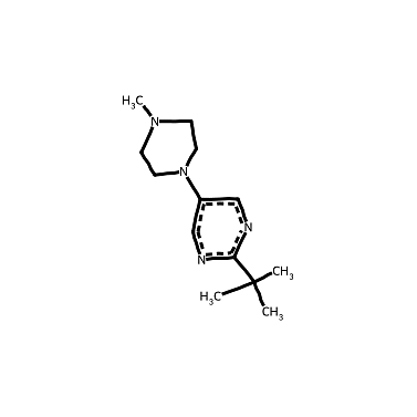 CN1CCN(c2cnc(C(C)(C)C)nc2)CC1